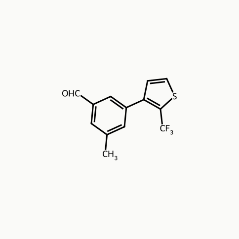 Cc1cc(C=O)cc(-c2ccsc2C(F)(F)F)c1